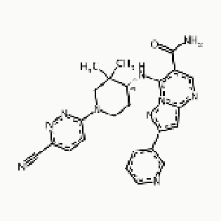 CC1(C)CN(c2ccc(C#N)nn2)CC[C@H]1Nc1c(C(N)=O)cnc2cc(-c3cccnc3)nn12